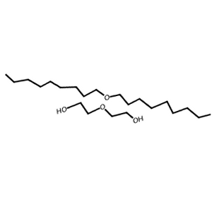 CCCCCCCCCOCCCCCCCCC.OCCOCCO